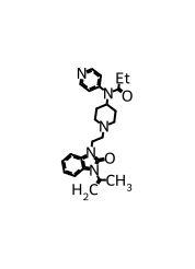 C=C(C)n1c(=O)n(CCN2CCC(N(C(=O)CC)c3ccncc3)CC2)c2ccccc21